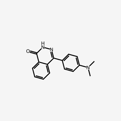 CN(C)c1ccc(-c2n[nH]c(=O)c3ccccc23)cc1